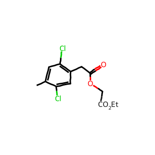 CCOC(=O)COC(=O)Cc1cc(Cl)c(C)cc1Cl